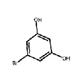 Oc1[c]c(Br)cc(O)c1